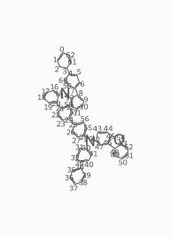 C1=CCC(c2ccc3c4ccccc4n(-c4ccccc4-c4ccc(-c5ccc(N(c6ccc(-c7ccccc7)cc6)c6ccc7c(c6)C6CC=CC=C6O7)cc5)cc4)c3c2)C=C1